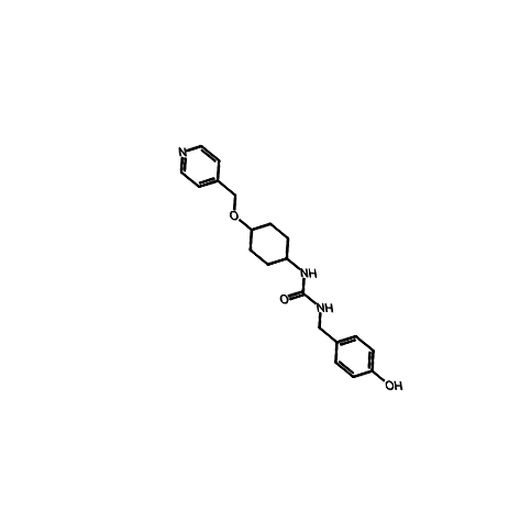 O=C(NCc1ccc(O)cc1)NC1CCC(OCc2ccncc2)CC1